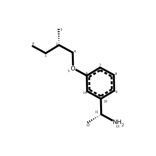 CC[C@H](C)COc1cccc([C@@H](C)N)c1